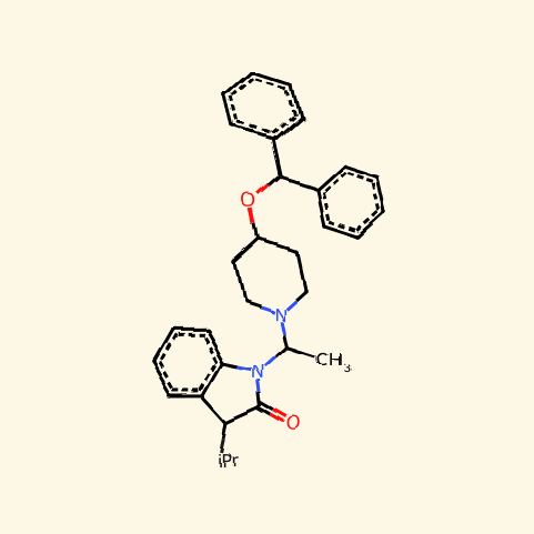 CC(C)C1C(=O)N(C(C)N2CCC(OC(c3ccccc3)c3ccccc3)CC2)c2ccccc21